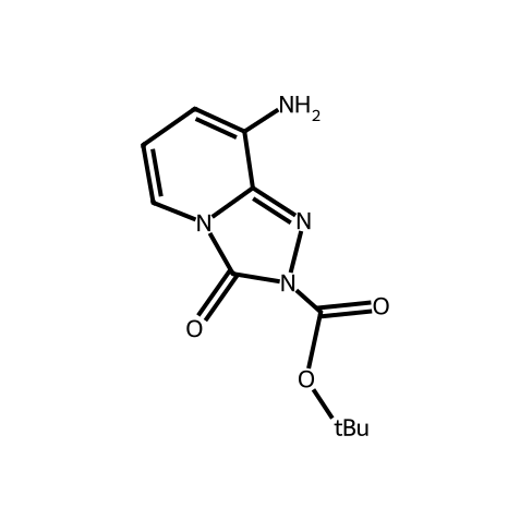 CC(C)(C)OC(=O)n1nc2c(N)cccn2c1=O